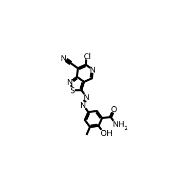 Cc1cc(/N=N/c2snc3c(C#N)c(Cl)ncc23)cc(C(N)=O)c1O